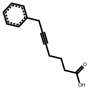 O=C(O)CCCC#CCc1ccccc1